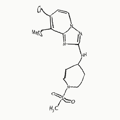 COc1c(Cl)ccn2nc(NC3CCN(S(C)(=O)=O)CC3)nc12